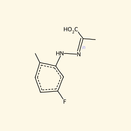 C/C(=N/Nc1cc(F)ccc1C)C(=O)O